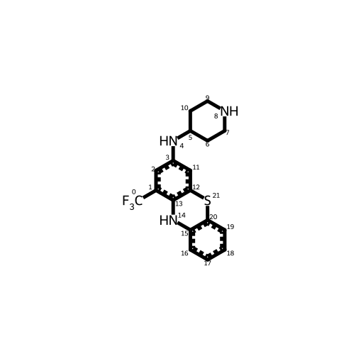 FC(F)(F)c1cc(NC2CCNCC2)cc2c1Nc1ccccc1S2